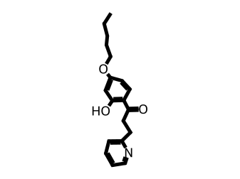 CCCCCOc1ccc(C(=O)CCc2ccccn2)c(O)c1